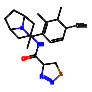 COC1C=CC(C(C)N2C3CCC2CC(NC(=O)C2CSN=N2)C3)=C(C)C1C